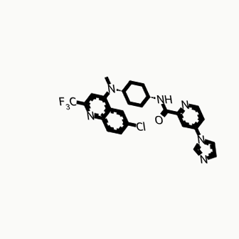 CN(c1cc(C(F)(F)F)nc2ccc(Cl)cc12)[C@H]1CC[C@@H](NC(=O)c2cc(-n3ccnc3)ccn2)CC1